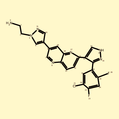 NCCn1cc(-c2cnc3ccc(-c4c[nH]nc4-c4cc(Cl)c(F)cc4F)nc3c2)cn1